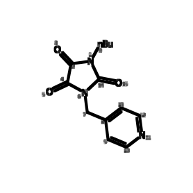 CCCCN1C(=O)C(=O)N(Cc2ccncc2)C1=O